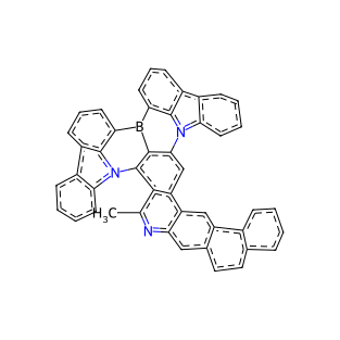 Cc1nc2cc3ccc4ccccc4c3cc2c2cc3c4c(c12)-n1c2ccccc2c2cccc(c21)B4c1cccc2c4ccccc4n-3c12